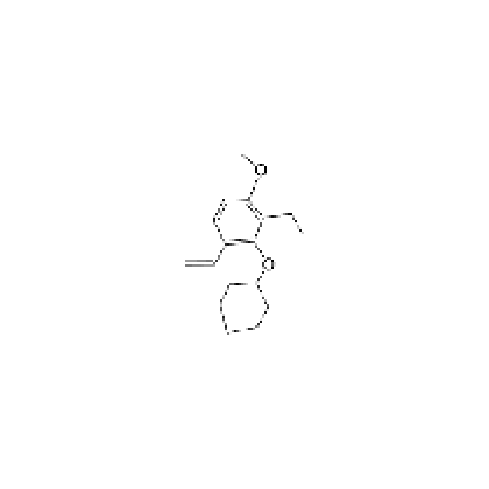 C=Cc1ccc(OC)c(CC)c1OC1CCCCC1